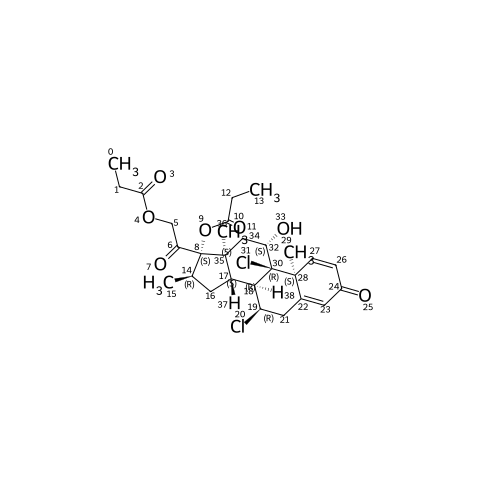 CCC(=O)OCC(=O)[C@]1(OC(=O)CC)[C@H](C)C[C@H]2[C@@H]3[C@H](Cl)CC4=CC(=O)C=C[C@]4(C)[C@@]3(Cl)[C@@H](O)C[C@@]21C